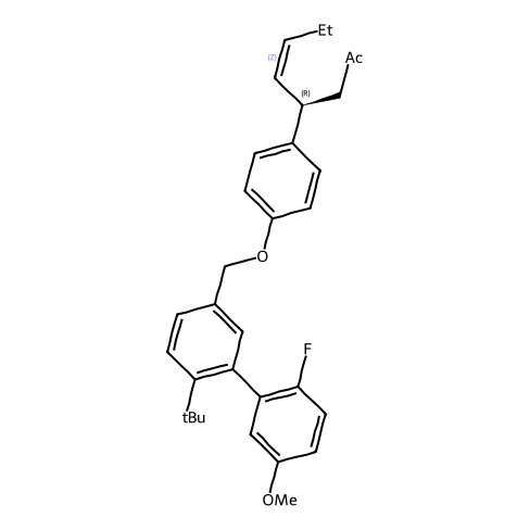 CC/C=C\[C@@H](CC(C)=O)c1ccc(OCc2ccc(C(C)(C)C)c(-c3cc(OC)ccc3F)c2)cc1